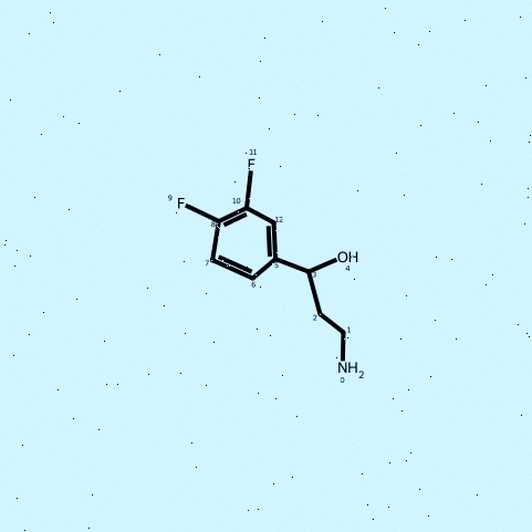 NCCC(O)c1ccc(F)c(F)c1